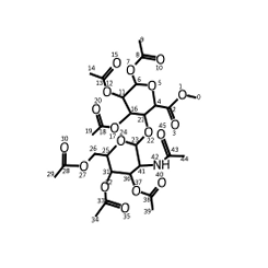 COC(=O)C1OC(OC(C)=O)C(OC(C)=O)C(OC(C)=O)C1OC1OC(COC(C)=O)C(OC(C)=O)C(OC(C)=O)C1NC(C)=O